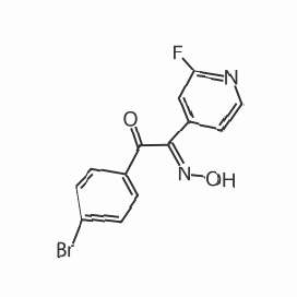 O=C(/C(=N/O)c1ccnc(F)c1)c1ccc(Br)cc1